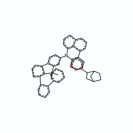 CC1(C)c2cc(N(c3ccc(C4CC5CCC4C5)cc3)c3cccc4cccc(C5CCCCC5)c34)ccc2-c2cccc(-c3ccccc3-c3ccccc3)c21